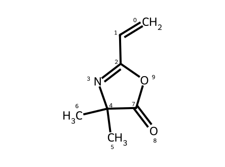 C=CC1=NC(C)(C)C(=O)O1